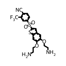 N#Cc1ccc(S(=O)(=O)c2cc3cc(OCCN)c(OCCN)cc3s2)cc1C(F)(F)F